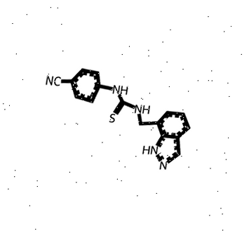 N#Cc1ccc(NC(=S)NCc2cccc3cn[nH]c23)cc1